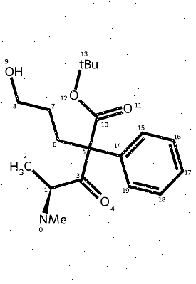 CN[C@@H](C)C(=O)C(CCCO)(C(=O)OC(C)(C)C)c1ccccc1